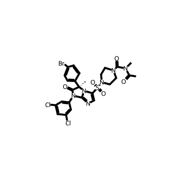 CC(=O)N(C)C(=O)N1CCN(S(=O)(=O)c2cnc3n2[C@](C)(c2ccc(Br)cc2)C(=O)N3c2cc(Cl)cc(Cl)c2)CC1